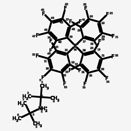 CC(C)(C)[NH2+]C(C)(C)C.Fc1c(F)c(F)c([B-](c2c(F)c(F)c(F)c(F)c2F)(c2c(F)c(F)c(F)c(F)c2F)c2c(F)c(F)c(F)c(F)c2F)c(F)c1F